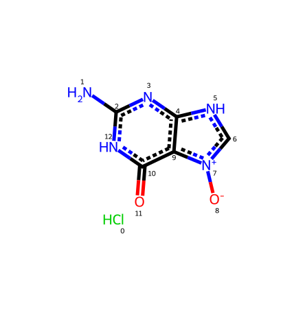 Cl.Nc1nc2[nH]c[n+]([O-])c2c(=O)[nH]1